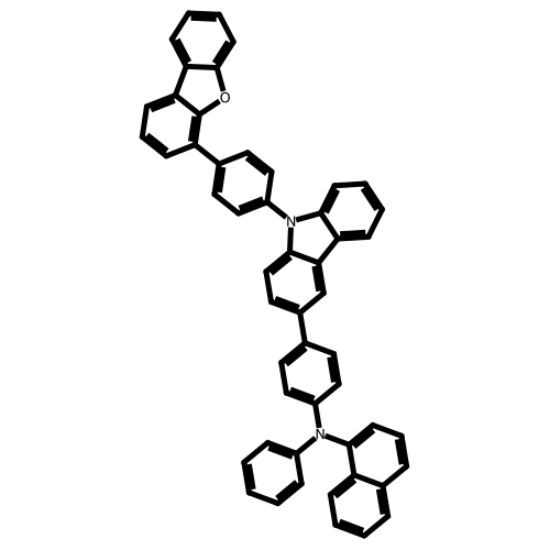 c1ccc(N(c2ccc(-c3ccc4c(c3)c3ccccc3n4-c3ccc(-c4cccc5c4oc4ccccc45)cc3)cc2)c2cccc3ccccc23)cc1